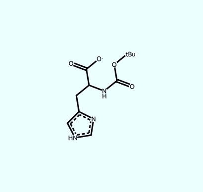 CC(C)(C)OC(=O)NC(Cc1c[nH]cn1)C([O])=O